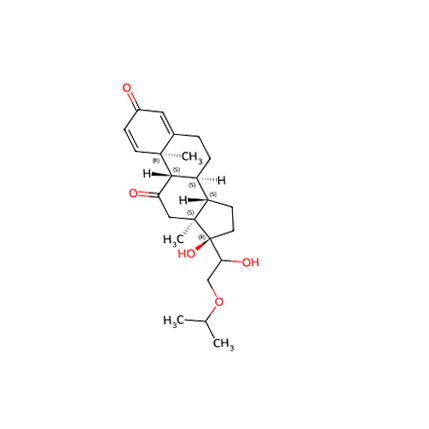 CC(C)OCC(O)[C@@]1(O)CC[C@H]2[C@@H]3CCC4=CC(=O)C=C[C@]4(C)[C@H]3C(=O)C[C@@]21C